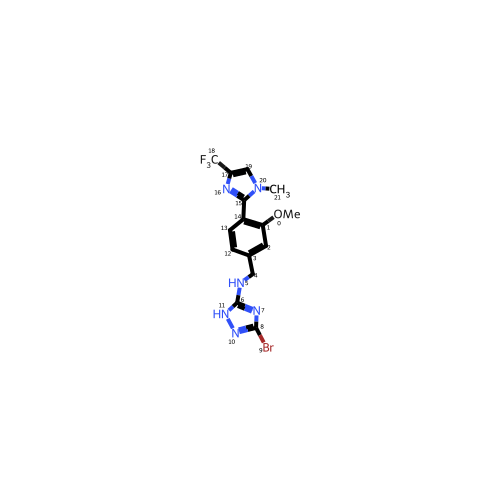 COc1cc(CNc2nc(Br)n[nH]2)ccc1-c1nc(C(F)(F)F)cn1C